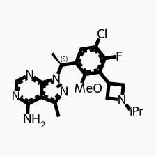 COc1c([C@H](C)n2nc(C)c3c(N)ncnc32)cc(Cl)c(F)c1C1CN(C(C)C)C1